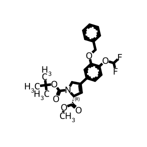 COC(=O)[C@H]1C=C(c2ccc(OC(F)F)c(OCc3ccccc3)c2)CN1C(=O)OC(C)(C)C